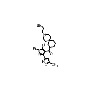 CCn1nc(-c2cc(C)on2)c(C(=O)N2CCCC3(CCN(CCC(C)(C)C)CC3)C2)c1Cl